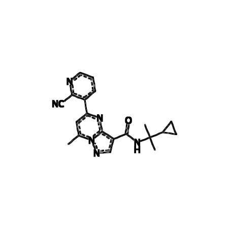 Cc1cc(-c2cccnc2C#N)nc2c(C(=O)NC(C)(C)C3CC3)cnn12